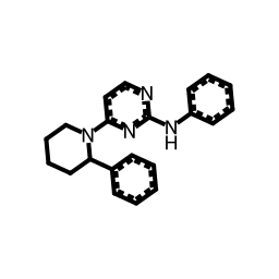 c1ccc(Nc2nccc(N3CCCCC3c3ccccc3)n2)cc1